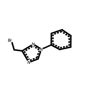 BrCc1ncn(-c2ccccc2)n1